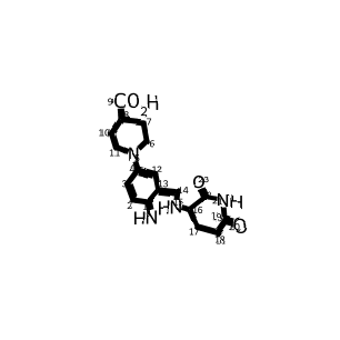 N=C1C=CC(N2CCC(C(=O)O)CC2)=C/C1=C/NC1CCC(=O)NC1=O